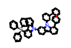 c1ccc(-c2cccc(-n3c4cc(-n5c6ccccc6c6c([Si](c7ccccc7)(c7ccccc7)c7ccccc7)cccc65)ccc4c4cccc(-c5ccccc5)c43)c2)cc1